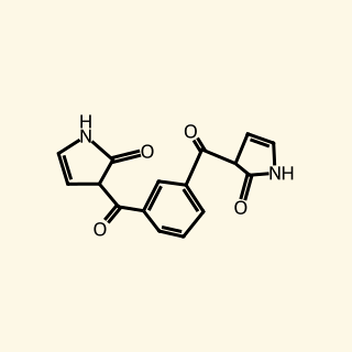 O=C1NC=CC1C(=O)c1cccc(C(=O)C2C=CNC2=O)c1